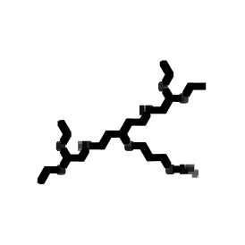 CCOC(CPCCC(CCPCC(OCC)OCC)OCCCON)OCC